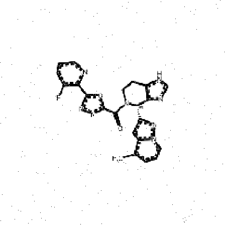 O=C(c1nnc(-c2ncccc2F)o1)N1CCc2[nH]cnc2[C@@H]1c1cc2c(C(F)(F)F)cccn2n1